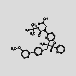 COc1cccc(-c2ccc(CC(N)(c3cccc(N(CC(=O)O)C(=O)OC(C)(C)C)n3)S(=O)(=O)c3ccccn3)cc2)c1